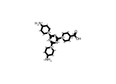 NC1CCN(c2nc(N3CCC(N)CC3)nc(N3CCC(C(=O)O)CC3)n2)CC1